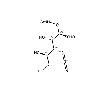 CC(=O)NO[C@@H](C=O)[C@@H](O)[C@H](N=[N+]=[N-])[C@H](O)CO